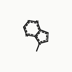 Cn1ccc2n[c]cnc21